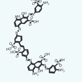 Nc1ccc(N=Nc2c(S(=O)(=O)O)cc3c(N=Nc4ccc(/C=C/c5ccc(N=Nc6ccc(N)c7c(O)c(N=Nc8ccc(N)c(S(=O)(=O)O)c8)c(S(=O)(=O)O)cc67)cc5S(=O)(=O)O)c(S(=O)(=O)O)c4)ccc(N)c3c2O)cc1S(=O)(=O)O